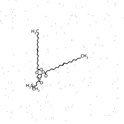 CCCCCCCCC=CCCCCCCCC(=O)O[C@@H]1CN(C(=O)CCN(C)C)C[C@H]1OC(=O)CCCCCCCC=CCCCCCCCC